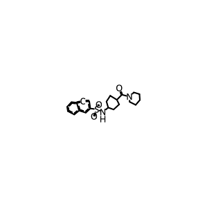 O=C(C1CCC(NS(=O)(=O)c2ccc3ccccc3c2)CC1)N1CCCCC1